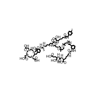 CCC(C)(CCOC(C)(C)Cn1cc(-c2cccc(NC(=O)NCCCCC(NC(=O)NC(CCC(=O)O)C(=O)O)C(=O)O)c2)nn1)OCCC(=O)NC(CCCCNC(=S)Nc1ccc(CC2CN(CC(=O)O)CCN(CC(=O)O)CCN(CC(=O)O)CCN2CC(=O)O)cc1)C(=O)NC(CCCCNC(=O)Cc1ccc(I)cc1)C(=O)O